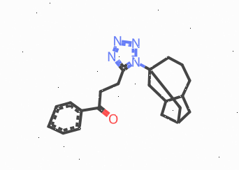 O=C(CCc1nnnn1C12CCCC3CC(CC3C1)C2)c1ccccc1